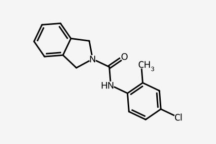 Cc1cc(Cl)ccc1NC(=O)N1Cc2ccccc2C1